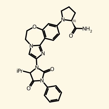 CC(C)C1C(=O)N(c2ccccc2)C(=O)N1c1cn2c(n1)-c1ccc(N3CCC[C@H]3C(N)=O)cc1OCC2